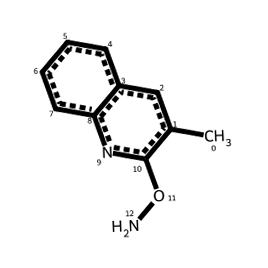 Cc1cc2ccccc2nc1ON